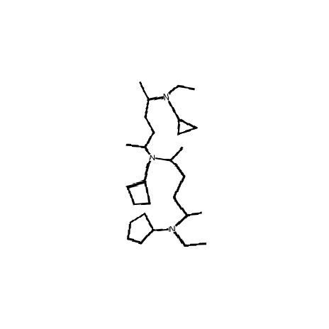 CCN(C(C)CCC(C)N(C(C)CCC(C)N(CC)C1CC1)C1CCC1)C1CCCC1